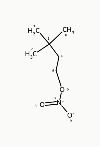 CC(C)(C)CCO[N+](=O)[O-]